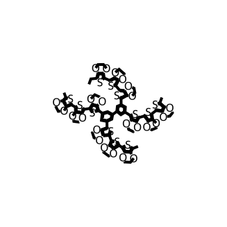 CCc1sc(-c2sc(-c3sc(-c4cc(-c5cc(-c6sc(-c7sc(-c8sc(C)c9c8OCCO9)c8c7OCCO8)c7c6OCCO7)cc(-c6sc(-c7sc(-c8sc(C)c9c8OCCO9)c8c7OCCO8)c7c6OCCO7)c5)cc(-c5sc(-c6sc(-c7sc(C)c8c7OCCO8)c7c6OCCO7)c6c5OCCO6)c4)c4c3OCCO4)c3c2OCCO3)c2c1OCCO2